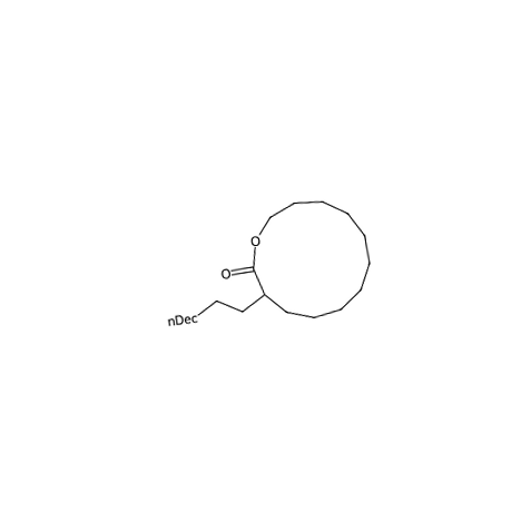 CCCCCCCCCCCCC1CCCCCCCCCCOC1=O